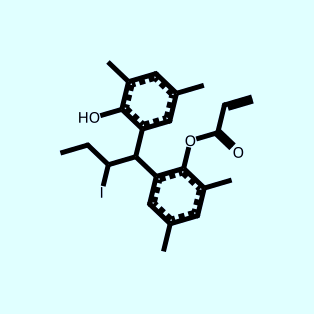 C=CC(=O)Oc1c(C)cc(C)cc1C(c1cc(C)cc(C)c1O)C(I)CC